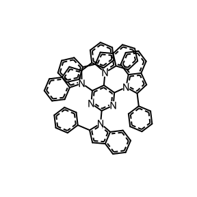 c1ccc(-c2cc3ccccc3n2-c2nc(-n3c(-c4ccccc4)cc4ccccc43)c(-n3c(-c4ccccc4)cc4ccccc43)c(-n3c(-c4ccccc4)cc4ccccc43)n2)cc1